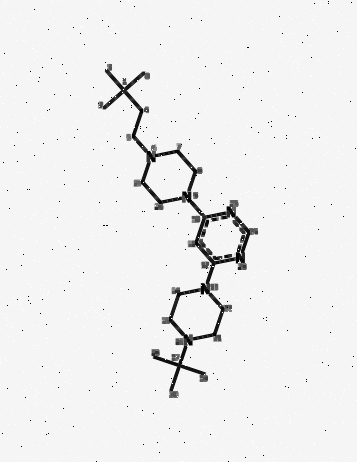 CC(C)(C)CCN1CCN(c2cc(N3CCN(C(C)(C)C)CC3)ncn2)CC1